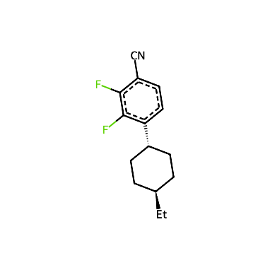 CC[C@H]1CC[C@H](c2ccc(C#N)c(F)c2F)CC1